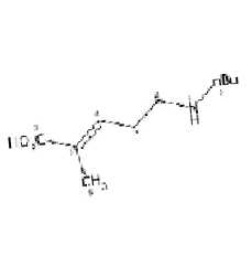 CCCCNCCC=C(C)C(=O)O